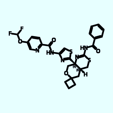 O=C(NC1=N[C@@]2(c3nc(NC(=O)c4ccc(OC(F)F)cn4)cs3)COC3(CCC3)C[C@H]2CS1)c1ccccc1